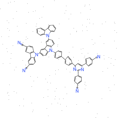 N#Cc1ccc(-c2cc(-c3ccc(-c4ccc(-n5c6ccc(-n7c8ccccc8c8ccccc87)cc6c6cc(-n7c8ccc(C#N)cc8c8cc(C#N)ccc87)ccc65)cc4)cc3)nc(-c3ccc(C#N)cc3)n2)cc1